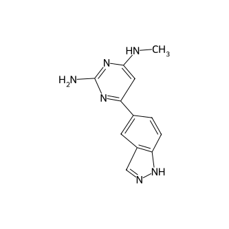 CNc1cc(-c2ccc3[nH]ncc3c2)nc(N)n1